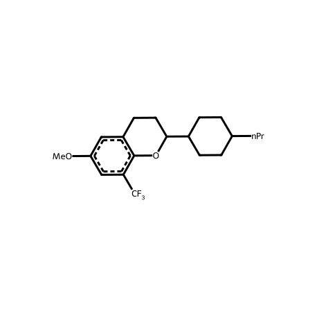 CCCC1CCC(C2CCc3cc(OC)cc(C(F)(F)F)c3O2)CC1